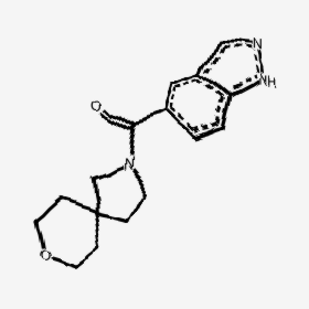 O=C(c1ccc2[nH]ncc2c1)N1CCC2(CCOCC2)C1